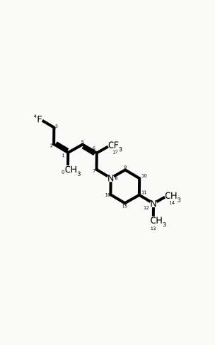 CC(=C/CF)/C=C(\CN1CCC(N(C)C)CC1)C(F)(F)F